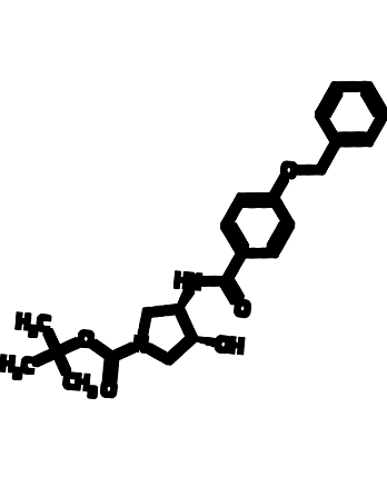 CC(C)(C)OC(=O)N1C[C@@H](O)[C@H](NC(=O)c2ccc(OCc3ccccc3)cc2)C1